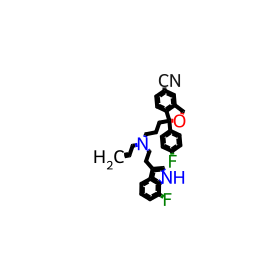 C=CCN(CCCC1(c2ccc(F)cc2)OCc2cc(C#N)ccc21)CCc1c[nH]c2c(F)cccc12